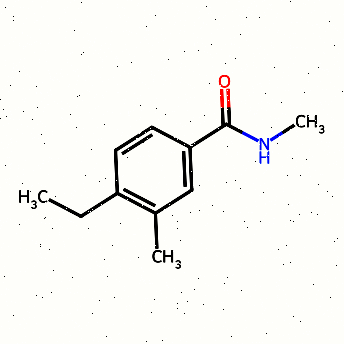 CCc1ccc(C(=O)NC)cc1C